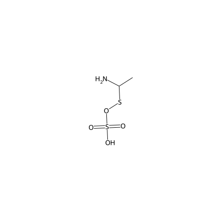 CC(N)SOS(=O)(=O)O